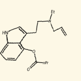 C=CCN(CC)CCc1c[nH]c2cccc(OC(=O)CCC)c12